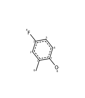 Cc1cc(F)ccc1[O]